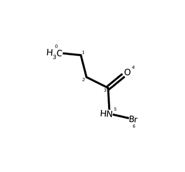 CCCC(=O)NBr